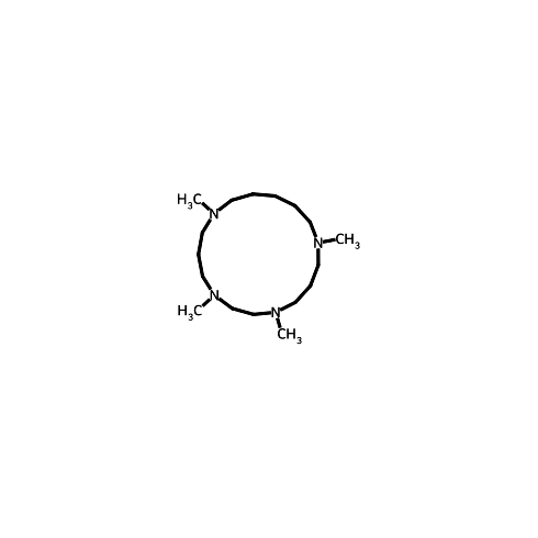 CN1CCCCCN(C)CCCN(C)CCN(C)CCC1